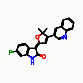 CC1(C)OC(=C2C(=O)Nc3cc(F)ccc32)C=C1c1cnc2ccccc2c1